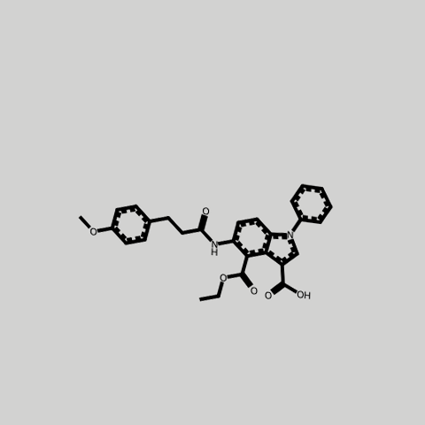 CCOC(=O)c1c(NC(=O)CCc2ccc(OC)cc2)ccc2c1c(C(=O)O)cn2-c1ccccc1